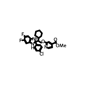 COC(=O)c1ccnc(OCC(C2CCCCC2)C2(c3ccc(Cl)cc3)Nc3cc(F)c(F)cc3N2)c1